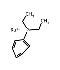 CCP(CC)c1ccccc1.[Ru+2]